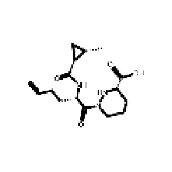 C=CCC[C@H](NC(=O)[C@H]1C[C@@H]1C)C(=O)N1CCC[C@@H](C(=O)O)N1